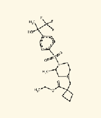 CCOC(=O)C1(CN2CCN(S(=O)(=O)c3ccc(C(C)(O)C(F)(F)F)cc3)C(C)C2)CCC1